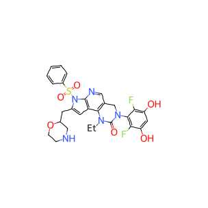 CCN1C(=O)N(c2c(F)c(O)cc(O)c2F)Cc2cnc3c(cc(CC4CNCCO4)n3S(=O)(=O)c3ccccc3)c21